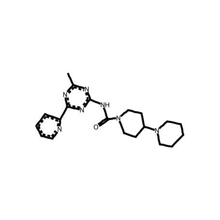 Cc1nc(NC(=O)N2CCC(N3CCCCC3)CC2)nc(-c2ccccn2)n1